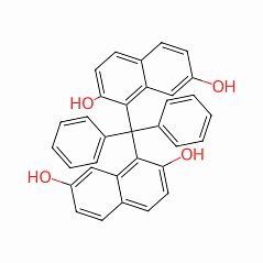 Oc1ccc2ccc(O)c(C(c3ccccc3)(c3ccccc3)c3c(O)ccc4ccc(O)cc34)c2c1